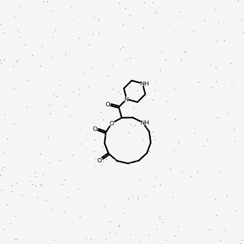 O=C1CCCCCCNCC(C(=O)N2CCNCC2)OC(=O)C1